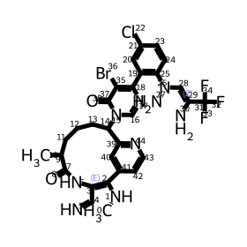 CN/C1=C(\C=N)NC(=O)C(C)CCCC(n2cnc(-c3cc(Cl)ccc3N(N)/C=C(\N)C(F)(F)F)c(Br)c2=O)c2cc1ccn2